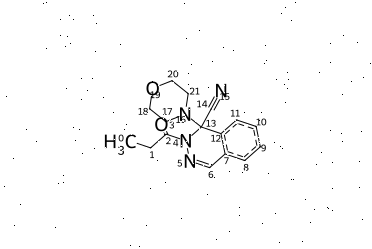 CCC(=O)N1N=Cc2ccccc2C1(C#N)N1CCOCC1